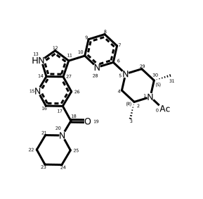 CC(=O)N1[C@H](C)CN(c2cccc(-c3c[nH]c4ncc(C(=O)N5CCCCC5)cc34)n2)C[C@@H]1C